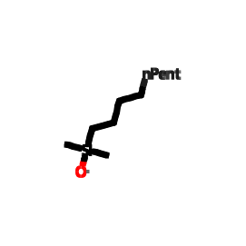 CCCCCCCCC[Si](C)(C)[O]